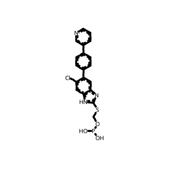 OP(O)OCSc1nc2cc(-c3ccc(-c4cccnc4)cc3)c(Cl)cc2[nH]1